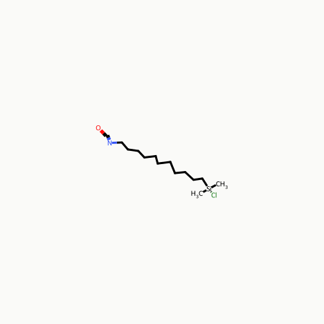 C[Si](C)(Cl)CCCCCCCCCCCN=C=O